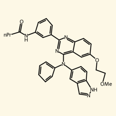 CCCC(=O)Nc1cccc(-c2nc(N(c3ccccc3)c3ccc4[nH]ncc4c3)c3cc(OCCOC)ccc3n2)c1